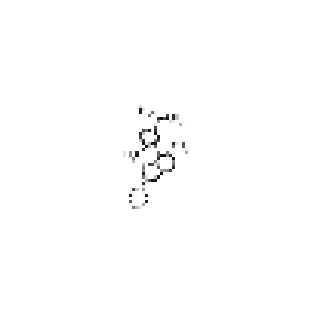 Cc1ccc(C(C)C)cc1-c1c2ccc(C3CCCCC3)cc2cc[n+]1C